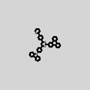 c1ccc(-c2ccc(-c3cc(-c4ccc(-n5c6ccccc6c6ccccc65)cc4)nc(-c4ccc5c6ccccc6c6ccccc6c5c4)n3)cc2)nc1